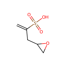 C=C(CC1CO1)S(=O)(=O)O